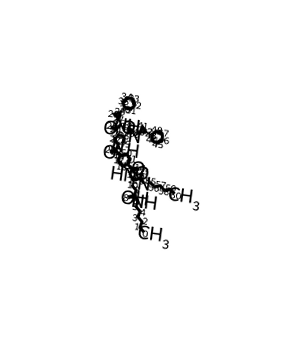 CCCCCCNC(=O)CC[C@@H](NC(=O)c1ccc(C(=O)N2C[C@@H](C(=O)N[C@H]3C[C@@H]3c3ccccc3)[C@H](C(=O)N[C@H]3C[C@@H]3c3ccccc3)C2)cc1)C(=O)NCCCCCC